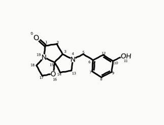 O=C1CC2N(Cc3cccc(O)c3)CCC23OCCN13